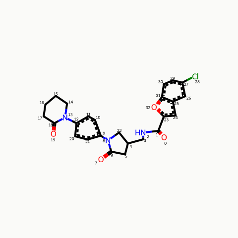 O=C(NCC1CC(=O)N(c2ccc(N3CCCCC3=O)cc2)C1)c1cc2cc(Cl)ccc2o1